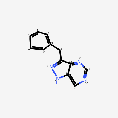 c1ccc(Cc2n[nH]c3cncnc23)cc1